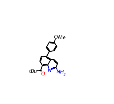 COc1ccc(-c2ccc(C(=O)C(C)(C)C)c3nc(N)ccc23)cc1